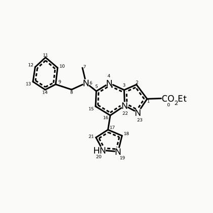 CCOC(=O)c1cc2nc(N(C)Cc3ccccc3)cc(-c3cn[nH]c3)n2n1